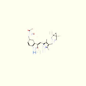 Cc1[nH]c(C=C2C(=O)NC3=C2CC(CN2C(=O)COC2=O)C=C3)c(C)c1CN1C[C@H]2C[C@H]2C1.Cl